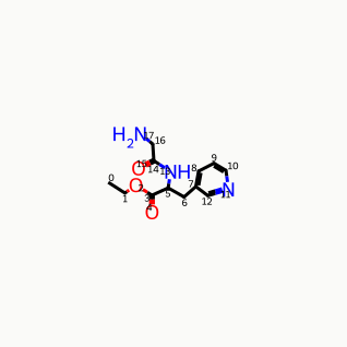 CCOC(=O)C(Cc1cccnc1)NC(=O)CN